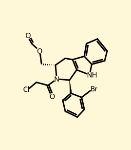 O=COC[C@@H]1Cc2c([nH]c3ccccc23)[C@@H](c2ccccc2Br)N1C(=O)CCl